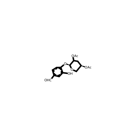 CC(=O)OC1C[C@@H](OC(C)=O)CO[C@H]1Oc1ccc(C=O)cc1O